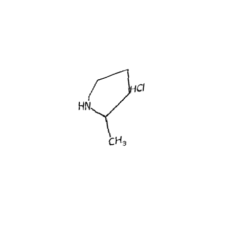 CC1CCCN1.Cl